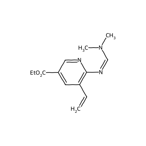 C=Cc1cc(C(=O)OCC)cnc1/N=C\N(C)C